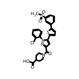 CS(=O)(=O)c1cccc(-c2ccc(-c3cc(C(=O)N4CCC(C(=O)O)CC4)nn3-c3ccccc3Cl)s2)c1